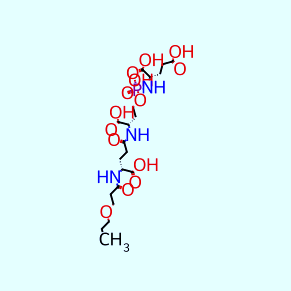 CCCOCCC(=O)N[C@H](CCC(=O)N[C@@H](CCOP(=O)(O)N[C@@H](CCC(=O)O)C(=O)O)C(=O)O)C(=O)O